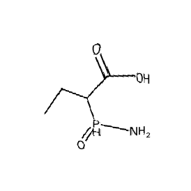 CCC(C(=O)O)[PH](N)=O